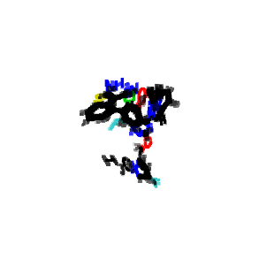 CN1C[C@H](F)C[C@H]1COc1nc2c3c(c(Cl)c(-c4cccc5sc(N)c(C#N)c45)c(F)c3n1)OC[C@@H]1[C@@H]3CC[C@H](CN21)N3